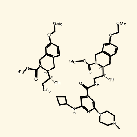 COCOc1ccc2c(c1)CN(C(=O)OC(C)(C)C)[C@H]([C@H](O)CN)C2.COCOc1ccc2c(c1)CN(C(=O)OC(C)(C)C)[C@H]([C@H](O)CNC(=O)c1cc(NC3CCC3)nc(N3CCN(C)CC3)c1)C2